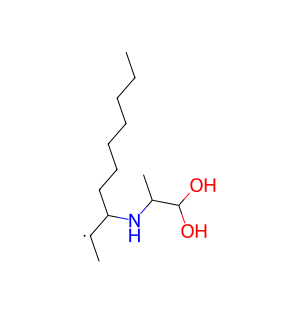 C[CH]C(CCCCCCC)NC(C)C(O)O